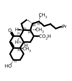 CC(C)CCC[C@@H](C)[C@H]1CC[C@H]2[C@@H]3C(=O)C=C4C[C@@H](O)CC[C@]4(C)[C@H]3CC(C(=O)O)[C@]12C